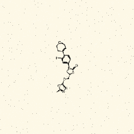 Cc1nnc(OC[C@H]2CN(c3ccc(C4=CCOCC4)c(F)c3)C(=O)O2)o1